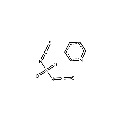 O=S(=O)(N=C=S)N=C=S.c1ccncc1